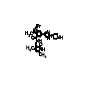 Cc1cc(C)c(CNC(=O)c2cc(-c3cnc(N4CCNCC4)nc3)cc3c2c(C)cn3C(C)C)c(=O)[nH]1